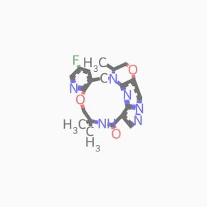 CC1COc2cn3ncc4c3nc2N1Cc1cc(F)cnc1OCC(C)(C)NC4=O